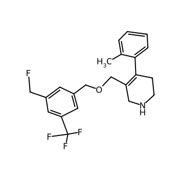 Cc1ccccc1C1=C(COCc2cc(CF)cc(C(F)(F)F)c2)CNCC1